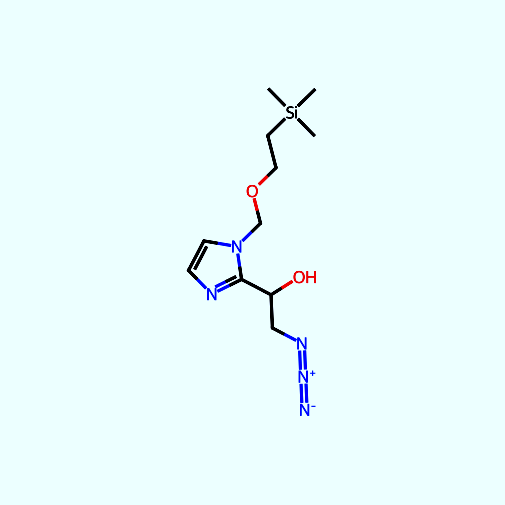 C[Si](C)(C)CCOCn1ccnc1C(O)CN=[N+]=[N-]